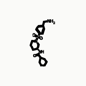 NCc1ccc(S(=O)(=O)N2CCC[C@H](NC(=O)C3CCCCC3)C2)cc1